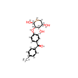 O=C(c1ccc(O[C@@H]2[C@@H](O)[C@H](O)CS[C@@H]2O)cc1)c1ccc(C(F)(F)F)cc1